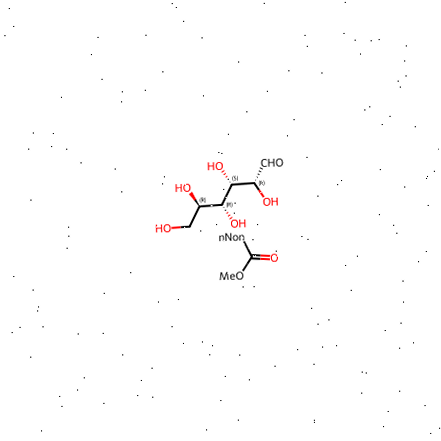 CCCCCCCCCC(=O)OC.O=C[C@H](O)[C@@H](O)[C@H](O)[C@H](O)CO